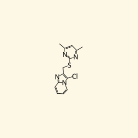 Cc1cc(C)nc(SCc2nc3ccccn3c2Cl)n1